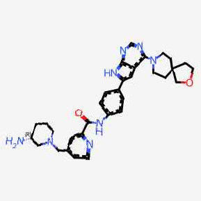 N[C@@H]1CCCN(Cc2ccnc(C(=O)Nc3ccc(-c4cc5c(N6CCC7(CCOC7)CC6)ncnc5[nH]4)cc3)c2)C1